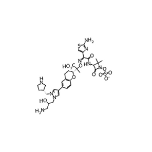 CC(O/N=C(\C(=O)N[C@@H]1C(=O)N(OS(=O)(=O)[O-])C1(C)C)c1csc(N)n1)(C(=O)O)[C@H]1CCc2cc(-c3cn(CC(O)CN)[n+](C[C@@H]4CCNC4)c3)ccc2O1